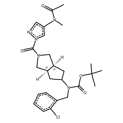 CC(=O)N(C)c1cnn(C(=O)N2C[C@H]3CC(N(Cc4ccccc4Cl)C(=O)OC(C)(C)C)C[C@H]3C2)c1